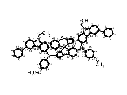 CCn1c2ccc(-c3ccccc3)cc2c2cc(N(c3ccc(OC)cc3)c3ccc4c(c3)C3(c5ccccc5Sc5ccccc53)c3cc(N(c5ccc(OC)cc5)c5ccc6c(c5)c5cc(-c7ccccc7)ccc5n6CC)ccc3-4)ccc21